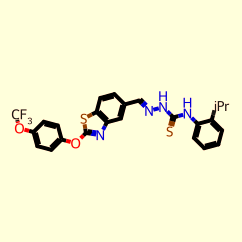 CC(C)c1ccccc1NC(=S)NN=Cc1ccc2sc(Oc3ccc(OC(F)(F)F)cc3)nc2c1